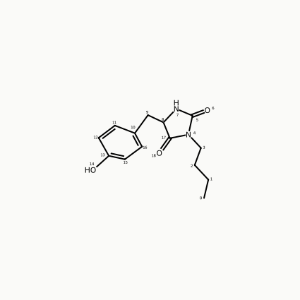 CCCCN1C(=O)NC(Cc2ccc(O)cc2)C1=O